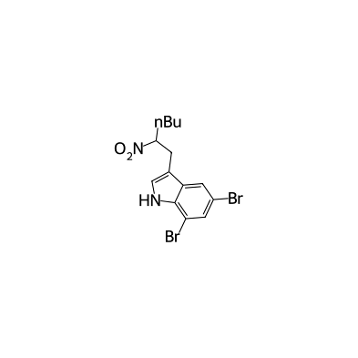 CCCCC(Cc1c[nH]c2c(Br)cc(Br)cc12)[N+](=O)[O-]